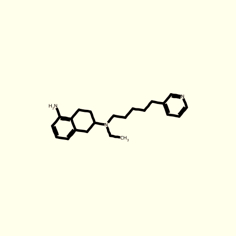 CCN(CCCCCc1cccnc1)C1CCc2c(N)cccc2C1